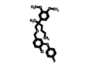 CCCCC(C)(COCc1ccc(Cl)c(Oc2ccc(F)cc2)c1)c1ccc(OC)c(OC)c1